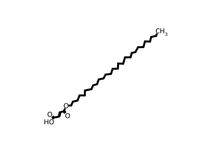 CCCCCCCCCCCCCCCCCCCCCCCCCCCCOC(=O)C=CC(=O)O